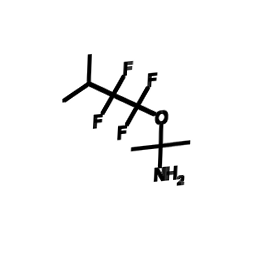 CC(C)C(F)(F)C(F)(F)OC(C)(C)N